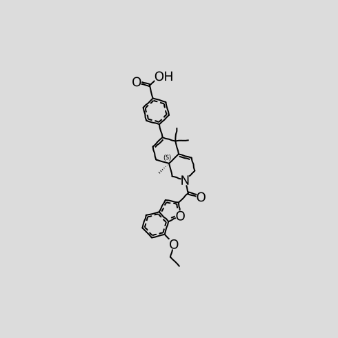 CCOc1cccc2cc(C(=O)N3CC=C4C(C)(C)C(c5ccc(C(=O)O)cc5)=CC[C@]4(C)C3)oc12